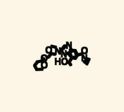 CC(O)c1cc(C(=O)N2CCC2)cc2ncc(N3CCOC(COC4CCCCO4)C3)nc12